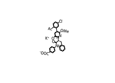 COc1nn([C@@H](Cc2ccccc2)C(=O)Nc2ccc(C(=O)[O-])cc2)c(=O)cc1-c1cc(Cl)ccc1C(C)=O.[K+]